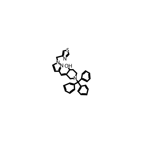 OC1CCN(C(c2ccccc2)(c2ccccc2)c2ccccc2)C/C1=C/c1ccn(Cc2cscn2)n1